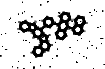 c1cc(-c2c3ccccc3c(-c3cccc4ccccc34)c3ccccc23)cc(-c2c3oc4ccccc4c3cc3c2oc2ccc4ccccc4c23)c1